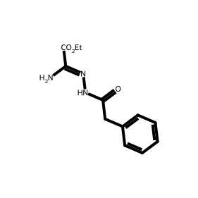 CCOC(=O)C(N)=NNC(=O)Cc1ccccc1